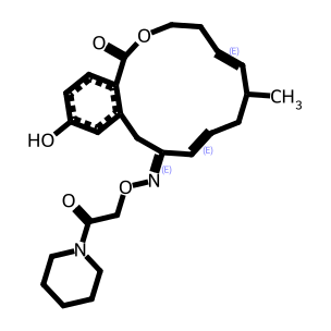 CC1/C=C/CCOC(=O)c2ccc(O)cc2CC(=N\OCC(=O)N2CCCCC2)/C=C/C1